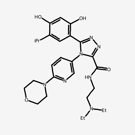 CCN(CC)CCNC(=O)c1nnc(-c2cc(C(C)C)c(O)cc2O)n1-c1ccc(N2CCOCC2)nc1